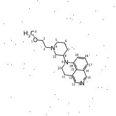 COCCN1CCCC(N2CCc3cncc4cccc2c34)C1